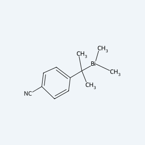 [CH3][Bi]([CH3])[C](C)(C)c1ccc(C#N)cc1